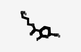 CCCCOC(=O)c1ccc(N)nc1F